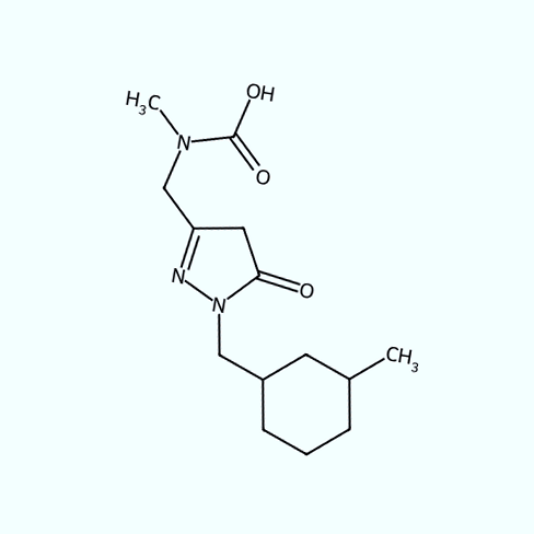 CC1CCCC(CN2N=C(CN(C)C(=O)O)CC2=O)C1